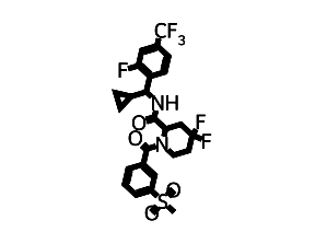 CS(=O)(=O)c1cccc(C(=O)N2CCC(F)(F)CC2C(=O)NC(c2ccc(C(F)(F)F)cc2F)C2CC2)c1